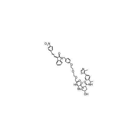 Cc1ncsc1-c1ccc(C(C)NC(=O)[C@@H]2C[C@@H](O)CN2C(=O)C(NC(=O)COCCOCCOc2ccc(CN3C(=O)/C(=C\C=C\c4ccc([N+](=O)[O-])cc4)c4ccccc43)cc2)C(C)(C)C)cc1